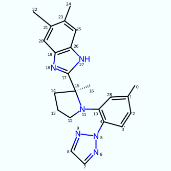 Cc1c[c]c(-n2nccn2)c(N2CCC[C@@]2(C)c2nc3cc(C)c(C)cc3[nH]2)c1